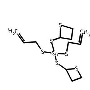 C=CC[S][Sn]([S]CC=C)([S]C1CCS1)[S]C1CCS1